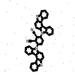 N#Cc1c(-n2c3ccccc3c3c4c(ccc32)sc2ccccc24)ccc(-n2c3ccccc3c3c4c(ccc32)sc2ccccc24)c1C#N